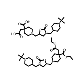 CC(C)(C)N1CCC(CN2CC(CN3CCC(CC(=O)O)(C(=O)O)CC3)OC2=O)CC1.CCOC(=O)CC1(C(=O)OCC)CCN(CC2CN(CC3CCN(C(C)(C)C)CC3)C(=O)O2)CC1